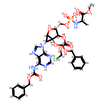 CC(C)OC(=O)C(C)NP(=O)(O)OC[C@H]1OC2[C@@H](n3cnc4c(NC(=O)OCc5ccccc5)ncnc43)[C@@]2(OCOCc2ccccc2)C1OC(=O)OCCl